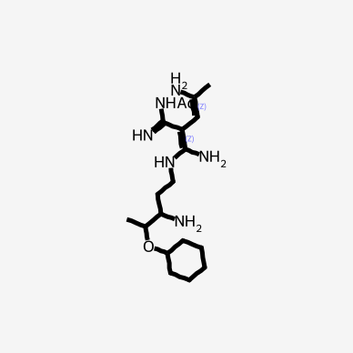 CC(=O)NC(=N)C(/C=C(/C)N)=C(/N)NCCC(N)C(C)OC1CCCCC1